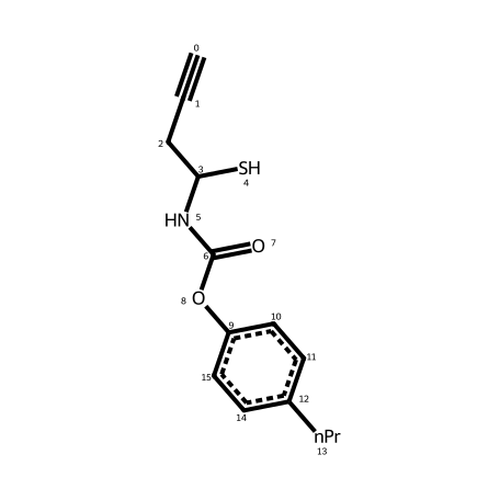 C#CCC(S)NC(=O)Oc1ccc(CCC)cc1